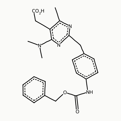 Cc1nc(Cc2ccc(NC(=O)OCc3ccccc3)cc2)nc(N(C)C)c1CC(=O)O